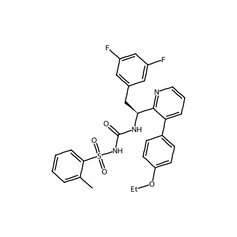 CCOc1ccc(-c2cccnc2[C@H](Cc2cc(F)cc(F)c2)NC(=O)NS(=O)(=O)c2ccccc2C)cc1